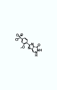 COc1cc(S(=O)(=O)Cl)ccc1-c1nc2c[nH][nH]c(=O)c-2n1